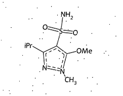 COc1c(S(N)(=O)=O)c(C(C)C)nn1C